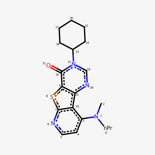 CCCN(C)c1ccnc2sc3c(=O)n(C4CCCCC4)cnc3c12